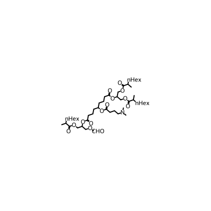 CCCCCCC(C)C(=O)OCC(COC=O)OC(=O)CCCC(CCCC(=O)OC(COC(=O)C(C)CCCCCC)COC(=O)C(C)CCCCCC)OC(=O)CCCN(C)C